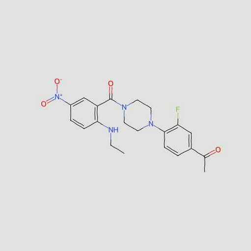 CCNc1ccc([N+](=O)[O-])cc1C(=O)N1CCN(c2ccc(C(C)=O)cc2F)CC1